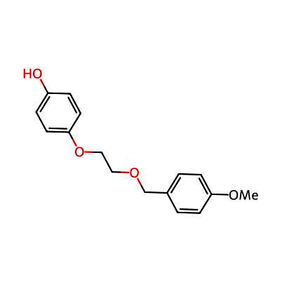 COc1ccc(COCCOc2ccc(O)cc2)cc1